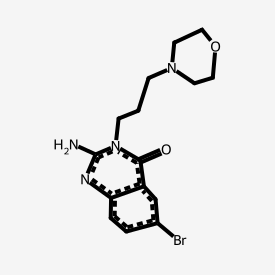 Nc1nc2ccc(Br)cc2c(=O)n1CCCN1CCOCC1